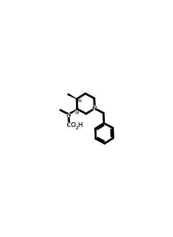 C[C@H]1CCN(Cc2ccccc2)C[C@H]1N(C)C(=O)O